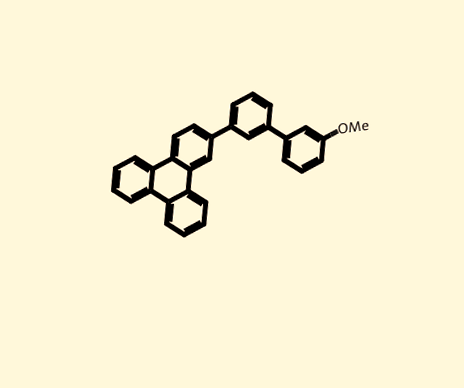 COc1cccc(-c2cccc(-c3ccc4c5ccccc5c5ccccc5c4c3)c2)c1